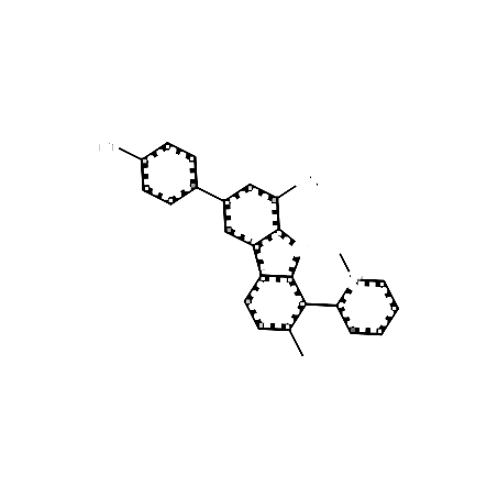 Cc1ccc2c(oc3c(C#N)cc(-c4ccc(C(C)C)cc4)cc32)c1-c1cccc[n+]1C